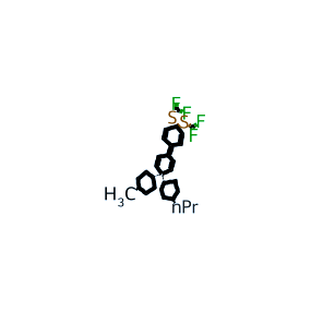 CCC[C@H]1CC[C@H](C2([C@H]3CC[C@H](C)CC3)C=CC(=C3C=CC(SC(F)F)(SC(F)F)C=C3)C=C2)CC1